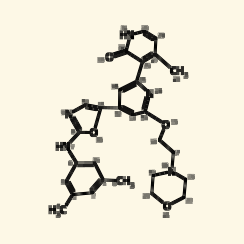 Cc1cc(C)cc(Nc2ncc(-c3cc(OCCN4CCOCC4)nc(-c4c(C)cc[nH]c4=O)c3)o2)c1